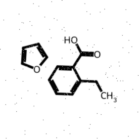 CCc1ccccc1C(=O)O.c1ccoc1